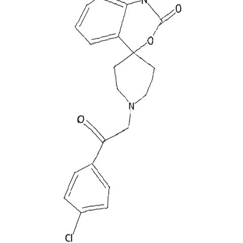 O=C1Nc2ccccc2C2(CCN(CC(=O)c3ccc(Cl)cc3)CC2)O1